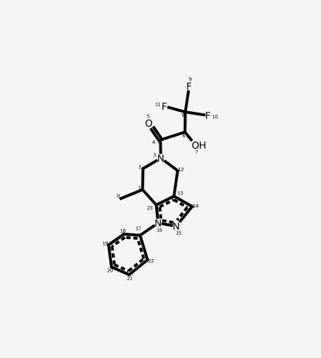 CC1CN(C(=O)C(O)C(F)(F)F)Cc2cnn(-c3ccccc3)c21